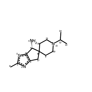 Cc1nc2c(s1)[C@H](N)C1(CCN(C(C)C)CC1)C2